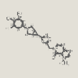 Cn1cnc2ncn(Cc3nc(C4C5CN(c6cc(F)c(Cl)c(F)c6)CC54)no3)c(=O)c21